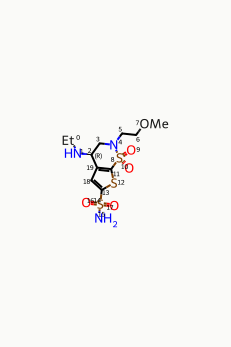 CCN[C@H]1CN(CCOC)S(=O)(=O)c2sc(S(N)(=O)=O)cc21